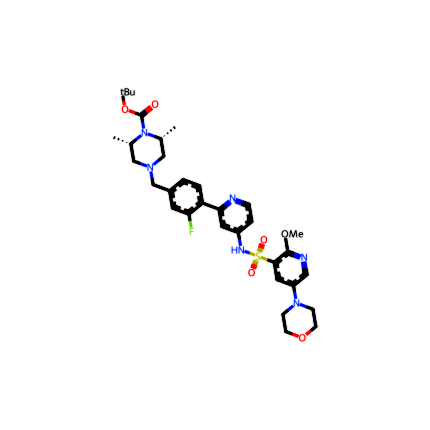 COc1ncc(N2CCOCC2)cc1S(=O)(=O)Nc1ccnc(-c2ccc(CN3C[C@@H](C)N(C(=O)OC(C)(C)C)[C@@H](C)C3)cc2F)c1